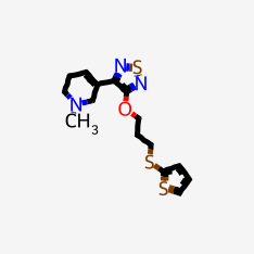 CN1CCC=C(c2nsnc2OCCCSc2cccs2)C1